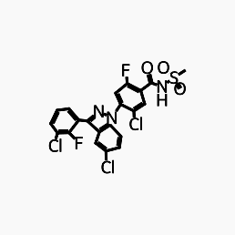 CS(=O)(=O)NC(=O)c1cc(Cl)c(-n2nc(-c3cccc(Cl)c3F)c3cc(Cl)ccc32)cc1F